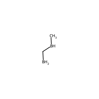 BCBC